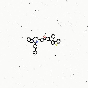 CCC1=C(\c2ccccc2)CCCC(c2ccc3c(c2)oc2ccc(-c4ccc5sc6ccccc6c5c4-c4ccccc4)cc23)/N=C\1c1ccc(-c2ccccc2)cc1